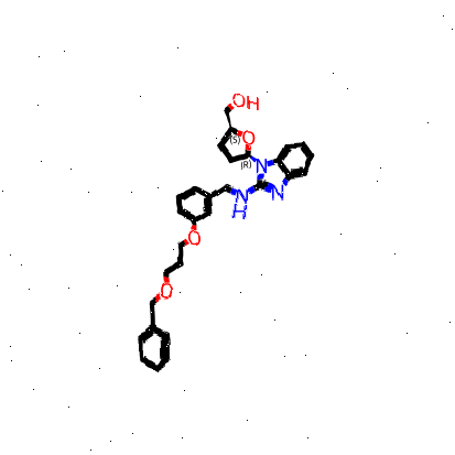 OC[C@@H]1CC[C@H](n2c(NCc3cccc(OCCCOCc4ccccc4)c3)nc3ccccc32)O1